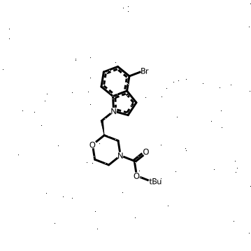 CC(C)(C)OC(=O)N1CCO[C@@H](Cn2ccc3c(Br)cccc32)C1